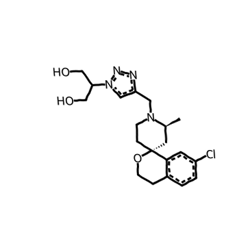 C[C@H]1C[C@@]2(CCN1Cc1cn(C(CO)CO)nn1)OCCc1ccc(Cl)cc12